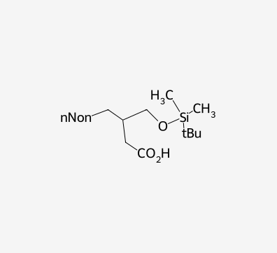 CCCCCCCCCCC(CO[Si](C)(C)C(C)(C)C)CC(=O)O